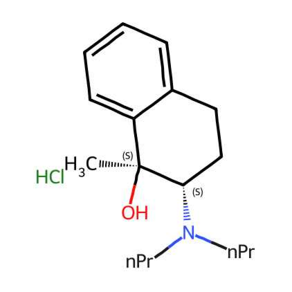 CCCN(CCC)[C@H]1CCc2ccccc2[C@]1(C)O.Cl